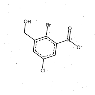 O=[N+]([O-])c1cc(Cl)cc(CO)c1Br